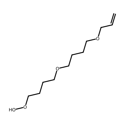 C=CCOCCCCOCCCCOO